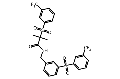 CC(C)(C(=O)NCc1cccc(S(=O)(=O)c2cccc(C(F)(F)F)c2)c1)S(=O)(=O)c1cccc(C(F)(F)F)c1